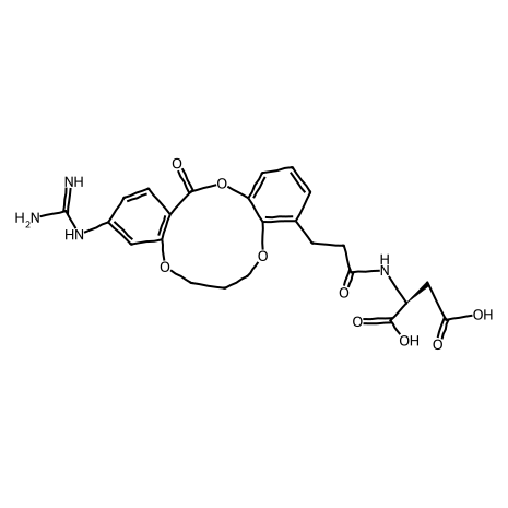 N=C(N)Nc1ccc2c(c1)OCCCOc1c(CCC(=O)N[C@@H](CC(=O)O)C(=O)O)cccc1OC2=O